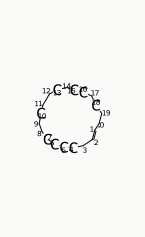 [CH]1/C=C\CCCCCCCCCCCCCCCCC1